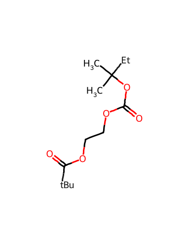 CCC(C)(C)OC(=O)OCCOC(=O)C(C)(C)C